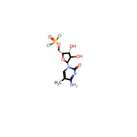 Cc1cn([C@@H]2O[C@H](COP(=O)(Cl)Cl)[C@H](O)C2O)c(=O)nc1N